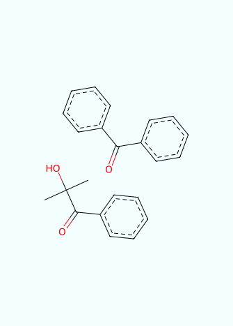 CC(C)(O)C(=O)c1ccccc1.O=C(c1ccccc1)c1ccccc1